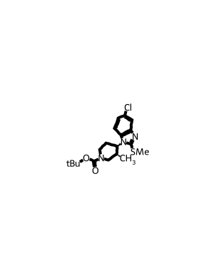 CSc1nc2cc(Cl)ccc2n1[C@@H]1CCN(C(=O)OC(C)(C)C)C[C@H]1C